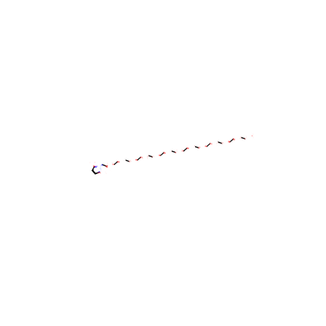 O=C(CN1C(=O)C=CC1=O)OCCOCCOCCOCCOCCOCCOCCOCCOCCOCCOCCOCCO